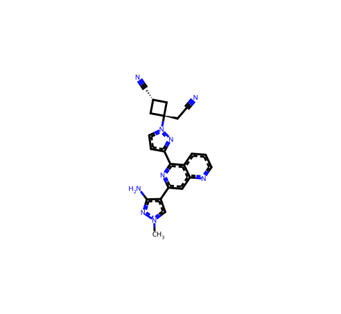 Cn1cc(-c2cc3ncccc3c(-c3ccn([C@]4(CC#N)C[C@H](C#N)C4)n3)n2)c(N)n1